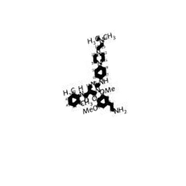 COc1cc(CCN)cc(OC)c1Oc1nc(Nc2ccc(N3CCN(CCN(C)C)CC3)cc2)ncc1C(=O)Nc1c(C)cccc1C